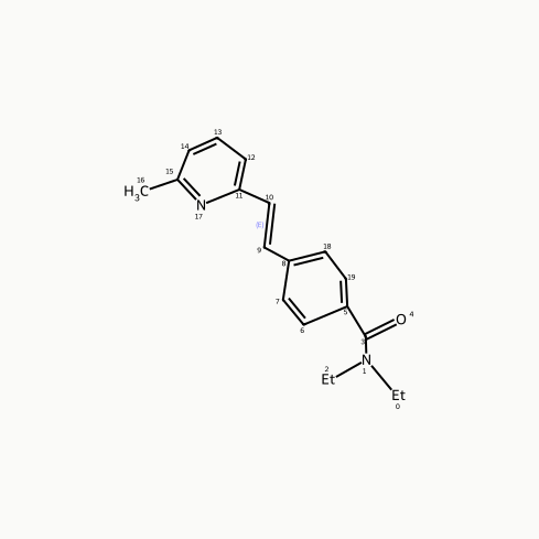 CCN(CC)C(=O)c1ccc(/C=C/c2cccc(C)n2)cc1